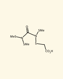 CSN(SC)C(=O)N(SC)SCC(=O)O